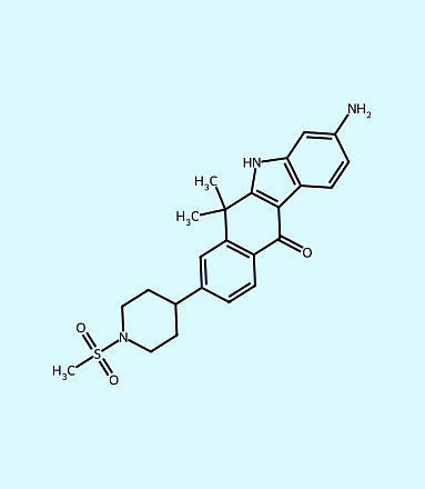 CC1(C)c2cc(C3CCN(S(C)(=O)=O)CC3)ccc2C(=O)c2c1[nH]c1cc(N)ccc21